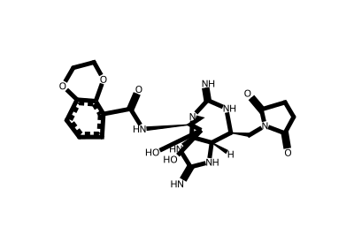 N=C1N[C@H]2[C@H](CN3C(=O)CCC3=O)NC(=N)N3C[C@H](NC(=O)c4cccc5c4OCCO5)C(O)(O)[C@]23N1